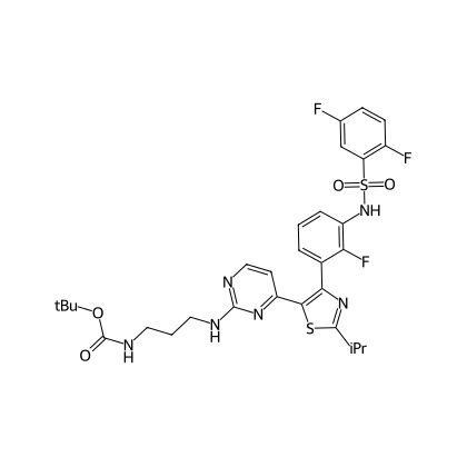 CC(C)c1nc(-c2cccc(NS(=O)(=O)c3cc(F)ccc3F)c2F)c(-c2ccnc(NCCCNC(=O)OC(C)(C)C)n2)s1